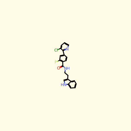 O=C(NCCc1c[nH]c2ccccc12)c1ccc(-c2ncccc2Cl)cc1F